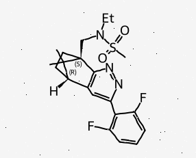 CCN(C[C@@]12CC[C@@H](c3cc(-c4c(F)cccc4F)nnc31)C2(C)C)S(C)(=O)=O